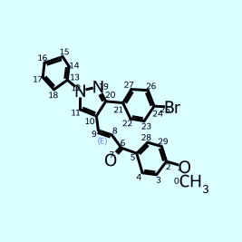 COc1ccc(C(=O)/C=C/c2cn(-c3ccccc3)nc2-c2ccc(Br)cc2)cc1